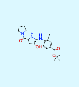 Cc1cc(C(=O)OC(C)(C)C)ccc1NC1=C(O)CC(C(=O)N2CCCC2)N1